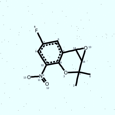 CC1(C)Oc2c(cc(F)cc2[N+](=O)[O-])C2OC21